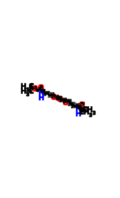 CC(C)OCC(=O)NCCCCCOCCOCCOCCCCCNC(=O)C(C)C